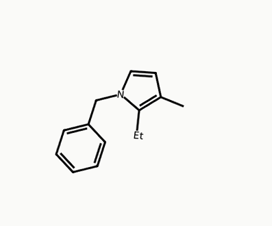 CCc1c(C)ccn1Cc1ccccc1